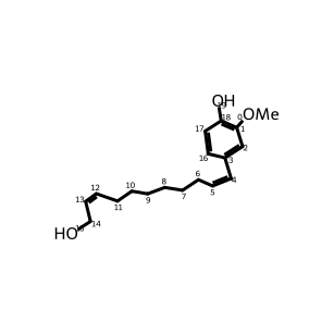 COc1cc(/C=C\CCCCCC/C=C\CO)ccc1O